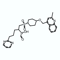 Cc1cc(COC2CCN(S(=O)(=O)CC(CCCc3ncccn3)N(O)C=O)CC2)c2ccccc2n1